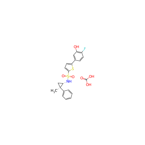 C[C@]1(c2ccccc2)C[C@@H]1NS(=O)(=O)c1ccc(-c2ccc(F)c(O)c2)s1.O=C(O)O